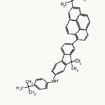 CC(C)(C)c1ccc(Nc2ccc3c(c2)C(C)(C)c2cc(-c4ccc5ccc6cc(C(C)(C)C)cc7ccc4c5c67)ccc2-3)cc1